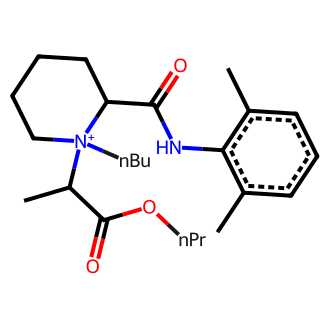 CCCC[N+]1(C(C)C(=O)OCCC)CCCCC1C(=O)Nc1c(C)cccc1C